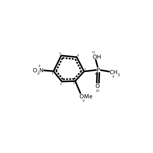 COc1cc([N+](=O)[O-])ccc1P(C)(=O)O